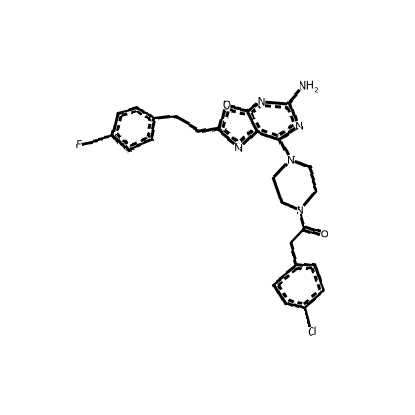 Nc1nc(N2CCN(C(=O)Cc3ccc(Cl)cc3)CC2)c2nc(CCc3ccc(F)cc3)oc2n1